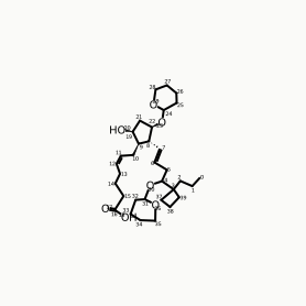 CCCC1(C(C/C=C/[C@@H]2[C@@H](C/C=C\CCCC(=O)O)[C@@H](O)C[C@H]2OC2CCCCO2)OC2CCCCO2)CCC1